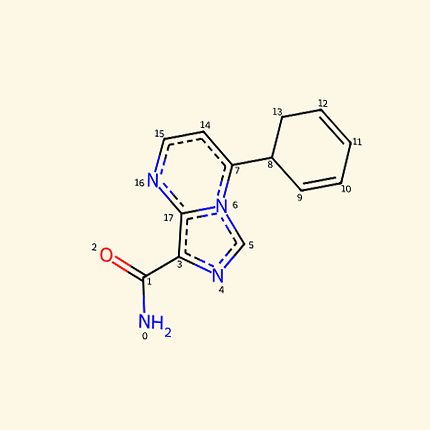 NC(=O)c1ncn2c(C3C=CC=CC3)ccnc12